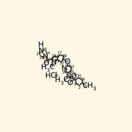 Cc1ccc(S(=O)(=O)N(C)c2ccc(Oc3ccc4cc(C(=O)N5CCNCC5)n(C)c4c3)nc2)cc1.Cl